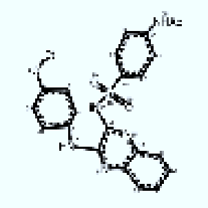 CCOc1ccc(Nc2nc3ccccc3nc2NS(=O)(=O)c2ccc(NC(C)=O)cc2)cc1